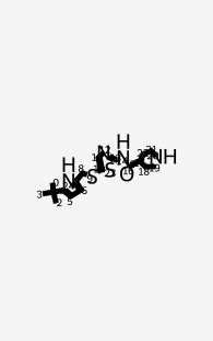 CC(C)(C)c1ccc(CSc2cnc(NC(=O)C3CCNCC3)s2)[nH]1